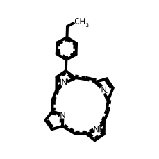 CCc1ccc(-c2cc3cc4nc(cc5ccc(cc6nc(cc2[nH]3)C=C6)[nH]5)C=C4)cc1